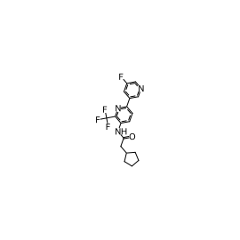 O=C(CC1CCCC1)Nc1ccc(-c2cncc(F)c2)nc1C(F)(F)F